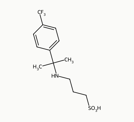 CC(C)(NCCCS(=O)(=O)O)c1ccc(C(F)(F)F)cc1